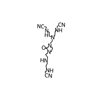 N#CCNCCNCCN1CCN(CCN(CCNCC#N)CCNCC#N)C1=O